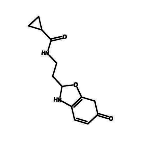 O=C1C=CC2=C(C1)OC(CCNC(=O)C1CC1)N2